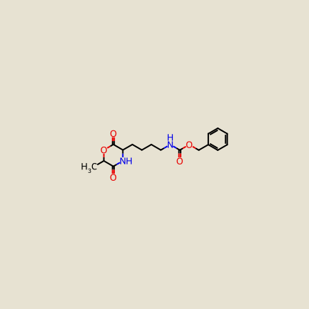 CC1OC(=O)C(CCCCNC(=O)OCc2ccccc2)NC1=O